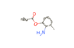 CCCCC(=O)Oc1cccc(C)c1N